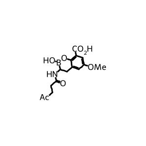 COc1cc2c(c(C(=O)O)c1)OB(O)C(NC(=O)CCC(C)=O)C2